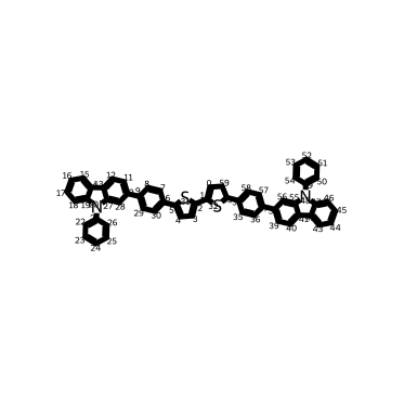 C1=C(c2ccc(-c3ccc(-c4ccc5c6ccccc6n(-c6ccccc6)c5c4)cc3)s2)SC(c2ccc(-c3ccc4c5ccccc5n(-c5ccccc5)c4c3)cc2)C1